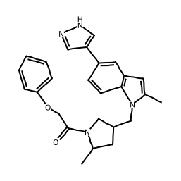 Cc1cc2cc(-c3cn[nH]c3)ccc2n1CC1CC(C)N(C(=O)COc2ccccc2)C1